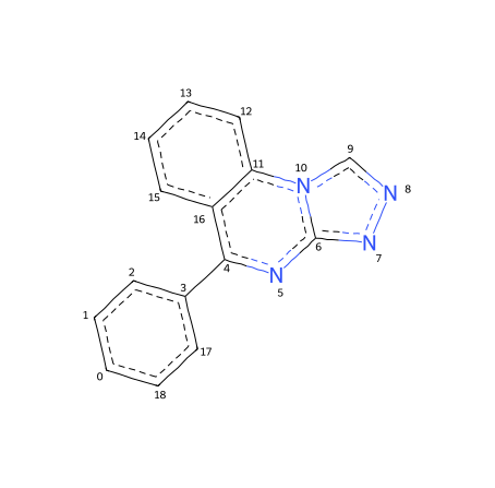 c1ccc(-c2nc3nncn3c3ccccc23)cc1